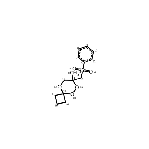 CC1(CS(=O)(=O)c2ccccc2)COC2(CCC2)OO1